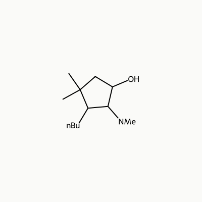 CCCCC1C(NC)C(O)CC1(C)C